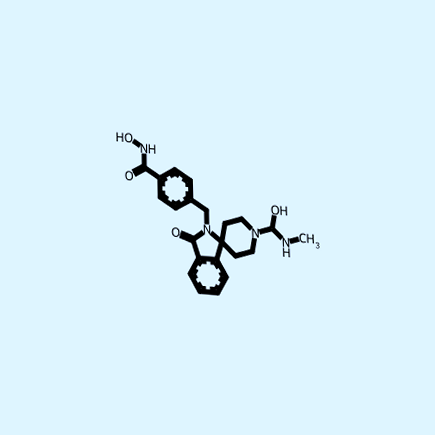 CNC(O)N1CCC2(CC1)c1ccccc1C(=O)N2Cc1ccc(C(=O)NO)cc1